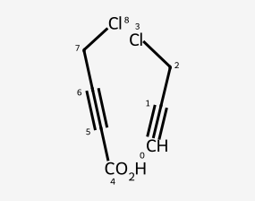 C#CCCl.O=C(O)C#CCCl